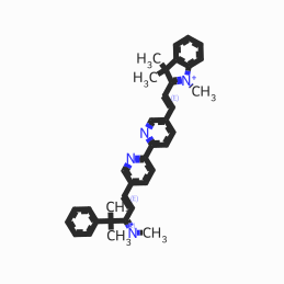 C/N=C(\C=C\c1ccc(-c2ccc(/C=C/C3=[N+](C)c4ccccc4C3(C)C)cn2)nc1)C(C)(C)c1ccccc1